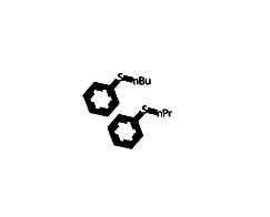 CCCCSc1ccccc1.CCCSc1ccccc1